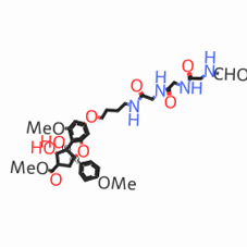 COC(=O)C1C[C@]2(c3ccc(OC)cc3)Oc3cc(OCCCCNC(=O)CNC(=O)CNC(=O)CNC=O)cc(OC)c3[C@]2(O)C1O